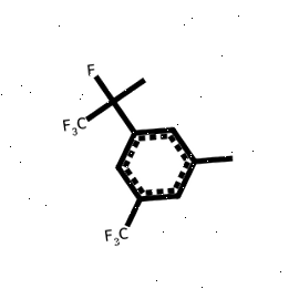 Cc1cc(C(F)(F)F)cc(C(C)(F)C(F)(F)F)c1